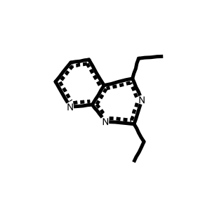 CCc1nc(CC)c2cccnc2n1